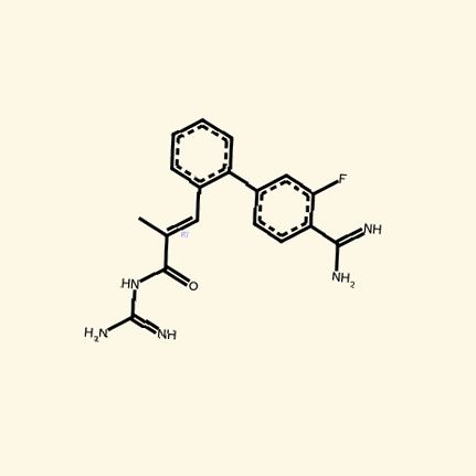 C/C(=C\c1ccccc1-c1ccc(C(=N)N)c(F)c1)C(=O)NC(=N)N